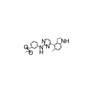 Cc1ccc2c(c1-c1ccnc(Nc3cccc(S(C)(=O)=O)c3)n1)CCN2